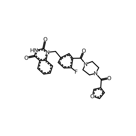 O=C(c1ccoc1)N1CCN(C(=O)c2cc(Cn3c(=O)[nH]c(=O)c4ccccc43)ccc2F)CC1